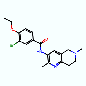 CCOc1ccc(C(=O)Nc2cc3c(nc2C)CCN(C)C3)cc1Br